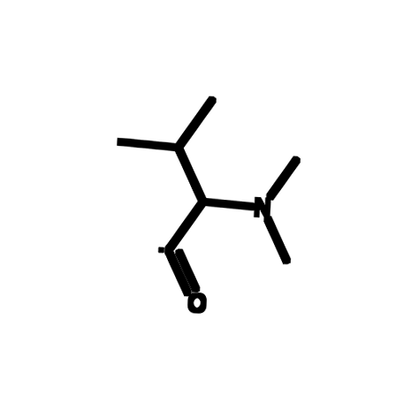 CC(C)C([C]=O)N(C)C